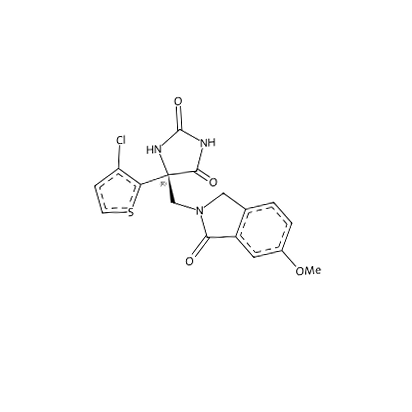 COc1ccc2c(c1)C(=O)N(C[C@@]1(c3sccc3Cl)NC(=O)NC1=O)C2